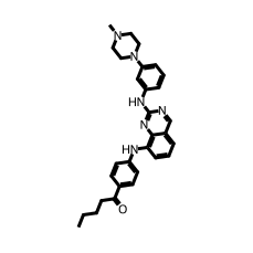 CCCCC(=O)c1ccc(Nc2cccc3cnc(Nc4cccc(N5CCN(C)CC5)c4)nc23)cc1